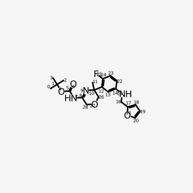 CC(C)(C)OC(=O)NC1=NC(C)(c2cc(NCc3ccco3)ccc2F)COC1